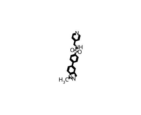 Cn1ncc2cc(-c3ccc(S(=O)(=O)NCc4ccncc4)cc3)ccc21